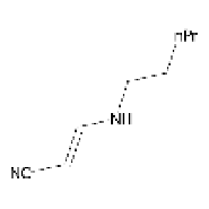 CCCCCNC=CC#N